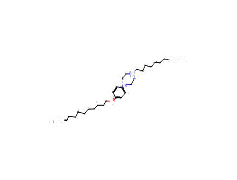 C=CCCCCCCCCCOc1ccc(N2CCN(CCCCCCCCCCCCCCCCC)CC2)cc1